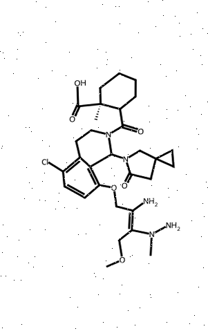 COC/C(=C(/N)COc1ccc(Cl)c2c1C(N1CC3(CC3)CC1=O)N(C(=O)C1CCCC[C@]1(C)C(=O)O)CC2)N(C)N